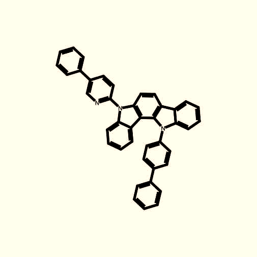 c1ccc(-c2ccc(-n3c4ccccc4c4ccc5c(c6ccccc6n5-c5ccc(-c6ccccc6)cn5)c43)cc2)cc1